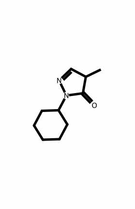 CC1C=NN(C2CCCCC2)C1=O